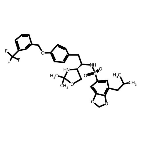 CC(C)Cc1cc(S(=O)(=O)NC(Cc2ccc(OCc3cccc(C(F)(F)F)c3)cc2)[C@H]2COC(C)(C)N2)cc2c1OCO2